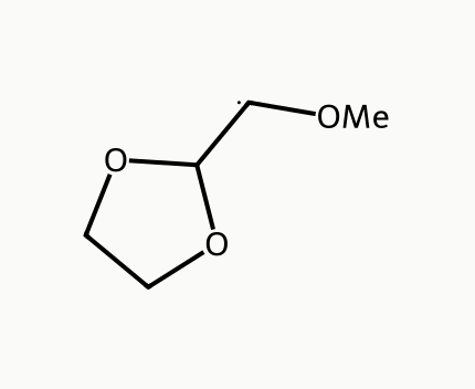 CO[CH]C1OCCO1